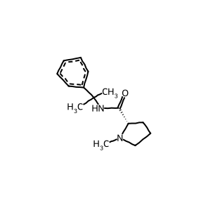 CN1CCC[C@H]1C(=O)NC(C)(C)c1ccccc1